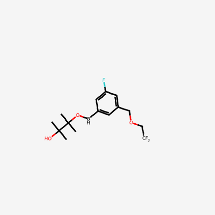 CC(C)(O)C(C)(C)OBc1cc(F)cc(COCC(F)(F)F)c1